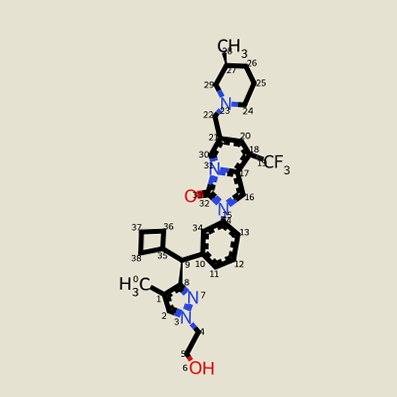 Cc1cn(CCO)nc1[C@H](c1cccc(-n2cc3c(C(F)(F)F)cc(CN4CCC[C@H](C)C4)cn3c2=O)c1)C1CCC1